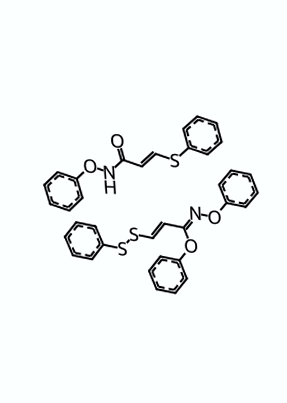 C(=C\C(=N\Oc1ccccc1)Oc1ccccc1)/SSc1ccccc1.O=C(/C=C/Sc1ccccc1)NOc1ccccc1